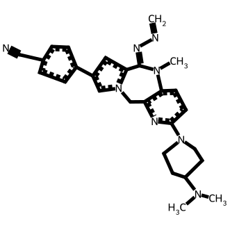 C=N/N=C1/c2cc(-c3ccc(C#N)cc3)cn2Cc2nc(N3CCC(N(C)C)CC3)ccc2N1C